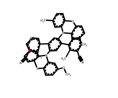 COc1ccc2c(c1)N(c1cc(-c3cccc(C#N)c3C)c(N3c4cc(C)ccc4Oc4ccc(C)cc43)cc1-c1cccc(C#N)c1C)c1cc(OC)ccc1S2